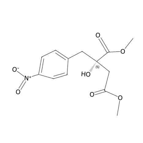 COC(=O)C[C@@](O)(Cc1ccc([N+](=O)[O-])cc1)C(=O)OC